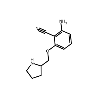 N#Cc1c(N)cccc1OCC1CCCN1